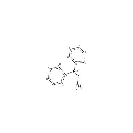 CSN(c1ccccc1)c1ncccn1